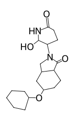 O=C1CCC(N2CC3CC(OC4CCCCC4)CCC3C2=O)C(O)N1